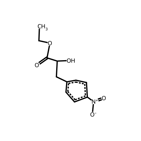 CCOC(=O)C(O)Cc1ccc([N+](=O)[O-])cc1